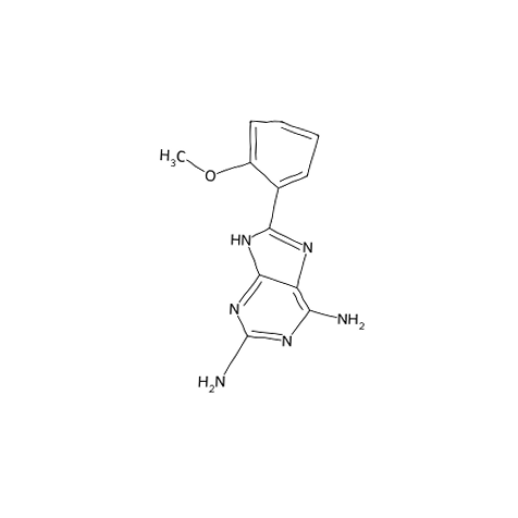 COc1ccccc1-c1nc2c(N)nc(N)nc2[nH]1